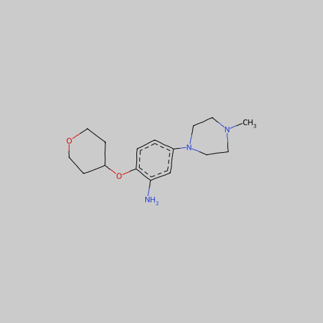 CN1CCN(c2ccc(OC3CCOCC3)c(N)c2)CC1